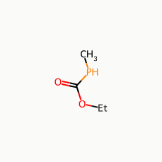 CCOC(=O)PC